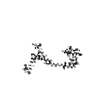 CO[C@H]([C@@H](C)[C@H]1O[C@]1(C)C[C@H](C)/C=C/C=C(\C)[C@H]1O[C@@H](CNC(=O)C[CH]CCCCc2ccc(NC(=O)[C@H](CCCNC(N)=O)NC(=O)[C@@H](NC(=O)CCCCCN3C(=O)C=CC3=O)C(C)C)cc2)CC[C@@H]1C)[C@@H](C)O